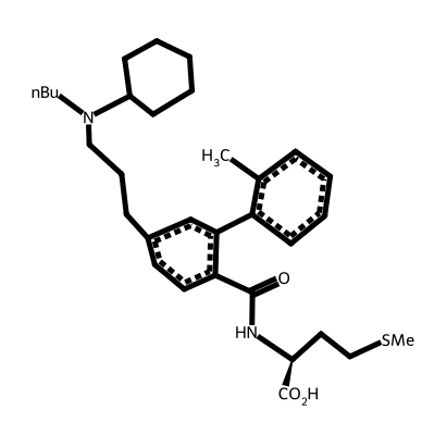 CCCCN(CCCc1ccc(C(=O)N[C@@H](CCSC)C(=O)O)c(-c2ccccc2C)c1)C1CCCCC1